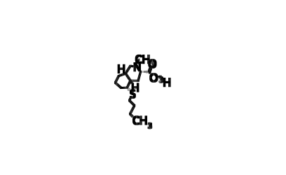 [3H]COC(=O)[C@@H]1C[C@H]2[C@H](CCC[C@H]2SCCCC)CN1C